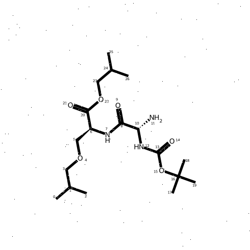 CC(C)COC[C@H](NC(=O)[C@H](N)NC(=O)OC(C)(C)C)C(=O)OCC(C)C